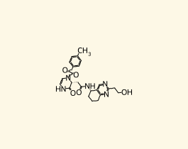 Cc1ccc(S(=O)(=O)N2C=CNC(=O)[C@H]2CC(=O)N[C@H]2CCCc3nc(CCO)ncc32)cc1